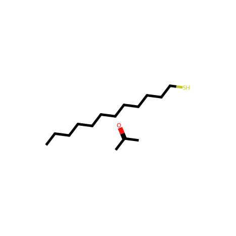 CC(C)=O.CCCCCCCCCCCCS